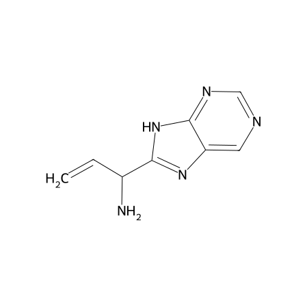 C=CC(N)c1nc2cncnc2[nH]1